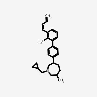 C=C/C=C\c1cccc(-c2ccc(C3CCC(C)CN(CC4CC4)C3)cc2)c1C